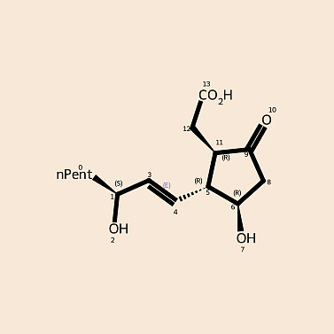 CCCCC[C@H](O)/C=C/[C@H]1[C@H](O)CC(=O)[C@@H]1CC(=O)O